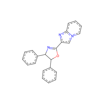 c1ccc(C2N=C(c3cn4ccccc4n3)OC2c2ccccc2)cc1